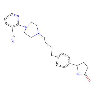 N#Cc1cccnc1N1CCN(CCCCc2ccc(C3CCC(=O)N3)cc2)CC1